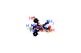 NCCCC[C@H](NC(=O)[C@@H](Cc1c[nH]c2ccccc12)NC(=O)[C@H](Cc1ccc(O)cc1)NC(=O)[C@@H](N)CS)C(=O)N[C@@H](CS)C(=O)O